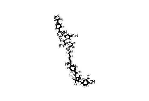 Cc1ncsc1-c1ccc([C@H](C)NC(=O)[C@@H]2C[C@@H](O)CN2C(=O)C(C(C)C)n2nccc2OCCCCCNc2ccc(C(=O)NC3C(C)(C)C(Oc4ccc(C#N)c(Cl)c4)C3(C)C)cc2)cc1